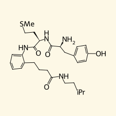 CSCC[C@@H](NC(=O)[C@@H](N)Cc1ccc(O)cc1)C(=O)Nc1ccccc1CCCC(=O)NCCC(C)C